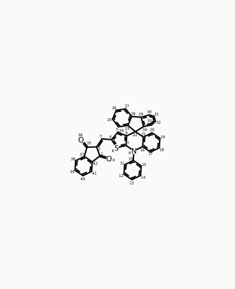 O=C1C(=Cc2cc3c(s2)N(c2ccccc2)c2ccccc2C32c3ccccc3-c3ccccc32)C(=O)c2ccccc21